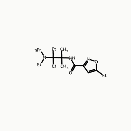 CCCN(CC)C(CC)(CC)C(C)(C)NC(=O)c1cc(CC)on1